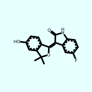 CC1(C)O/C(=C2/C(=O)Nc3ccc(F)cc32)c2ccc(O)cc21